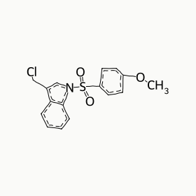 COc1ccc(S(=O)(=O)n2cc(CCl)c3ccccc32)cc1